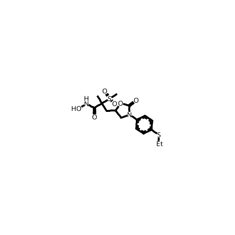 CCSc1ccc(N2CC(CC(C)(C(=O)NO)S(C)(=O)=O)OC2=O)cc1